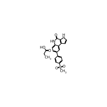 CCC(=O)O.CS(=O)(=O)c1ccc(-c2ccc3[nH]c(=O)c4[nH]ccc4c3c2)cc1